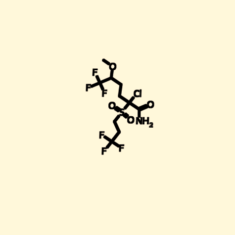 COC(CCC(Cl)(C(N)=O)S(=O)(=O)CCC(F)(F)F)C(F)(F)F